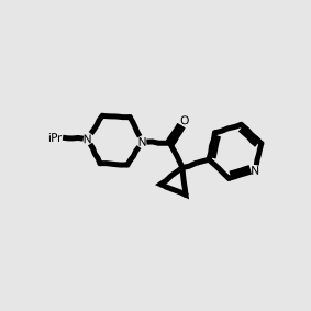 CC(C)N1CCN(C(=O)C2(c3cccnc3)CC2)CC1